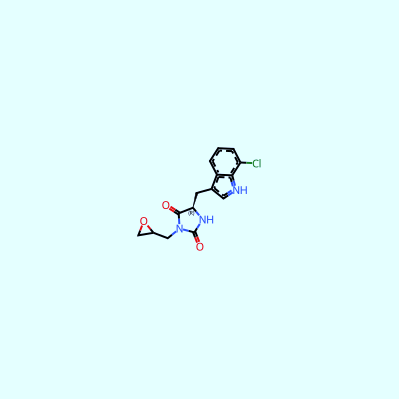 O=C1N[C@H](Cc2c[nH]c3c(Cl)cccc23)C(=O)N1CC1CO1